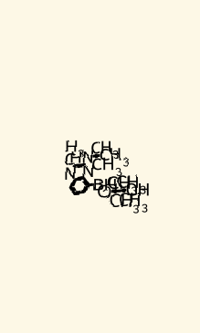 Cc1nc2cccc(BOC(C)(C)C(C)(C)O)c2nc1NC(C)(C)C